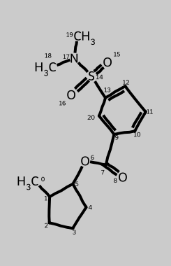 CC1CCCC1OC(=O)c1cccc(S(=O)(=O)N(C)C)c1